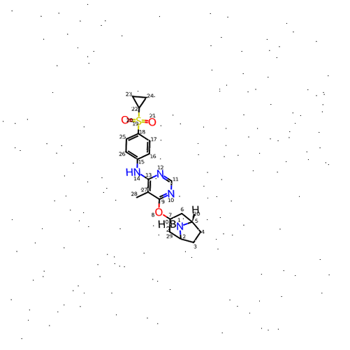 BN1C2CC[C@H]1CC(Oc1ncnc(Nc3ccc(S(=O)(=O)C4CC4)cc3)c1C)C2